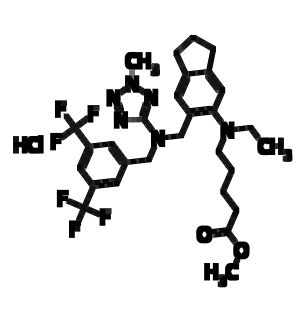 CCN(CCCCC(=O)OC)c1cc2c(cc1CN(Cc1cc(C(F)(F)F)cc(C(F)(F)F)c1)c1nnn(C)n1)CCC2.Cl